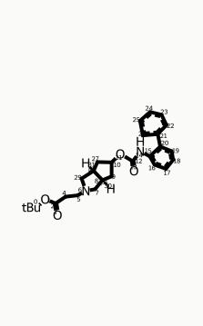 CC(C)(C)OC(=O)CCN1C[C@H]2CC(OC(=O)Nc3ccccc3-c3ccccc3)C[C@H]2C1